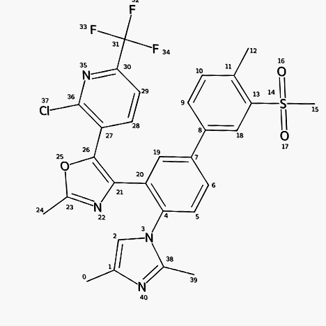 Cc1cn(-c2ccc(-c3ccc(C)c(S(C)(=O)=O)c3)cc2-c2nc(C)oc2-c2ccc(C(F)(F)F)nc2Cl)c(C)n1